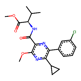 COC(=O)[C@H](NC(=O)c1nc(-c2cccc(Cl)c2)c(C2CC2)nc1OC)C(C)C